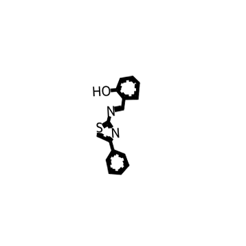 Oc1ccccc1C=Nc1nc(-c2ccccc2)cs1